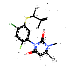 C=C(C)C(CCC)Sc1cc(-n2c(=O)cc(C(F)(F)F)n(C)c2=O)c(F)cc1Cl